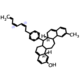 C=C/C=C\C=C/Cc1ccc(C2C3CC=C4C=CC(O)=C[C@H]4C3CCC3C4C=C(C)C=CC4=CC[C@H]32)cc1